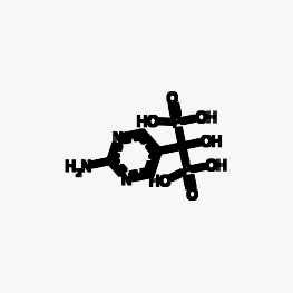 Nc1ncc(C(O)(P(=O)(O)O)P(=O)(O)O)cn1